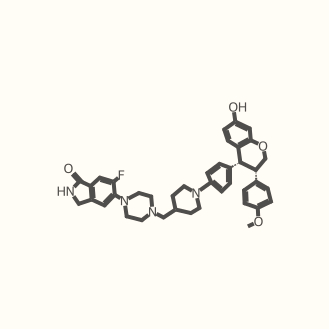 COc1ccc([C@H]2COc3cc(O)ccc3[C@H]2c2ccc(N3CCC(CN4CCN(c5cc6c(cc5F)C(=O)NC6)CC4)CC3)cc2)cc1